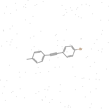 Cc1ccc(C#Cc2ccc(Br)cc2)cc1